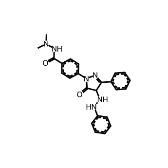 CN(C)NC(=O)c1ccc(N2N=C(c3ccccc3)C(NNc3ccccc3)C2=O)cc1